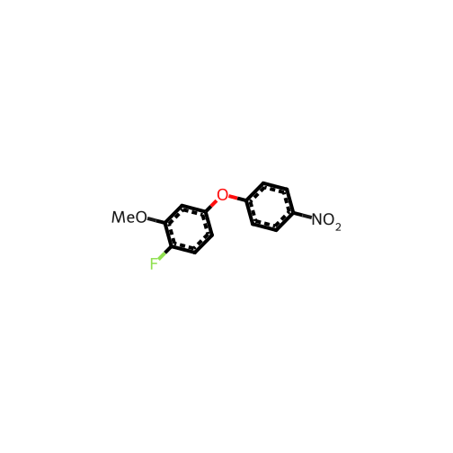 COc1cc(Oc2ccc([N+](=O)[O-])cc2)ccc1F